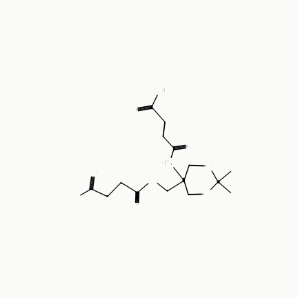 CC1(C)OCC(COC(=O)CCC(=O)O)(NC(=O)CCC(=O)O)CO1